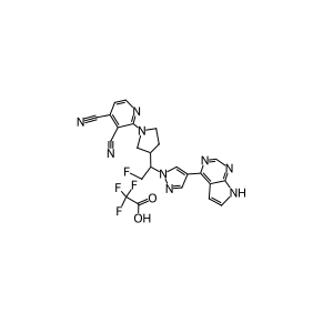 N#Cc1ccnc(N2CCC(C(CF)n3cc(-c4ncnc5[nH]ccc45)cn3)C2)c1C#N.O=C(O)C(F)(F)F